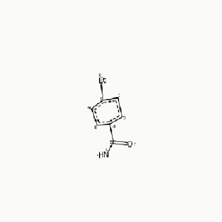 CCc1ccc(C([NH])=O)cc1